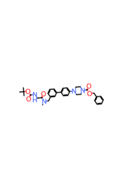 CN(Cc1cccc(-c2ccc(N3CCN(C(=O)OCc4ccccc4)CC3)cc2)c1)C(=O)CNC(=O)OC(C)(C)C